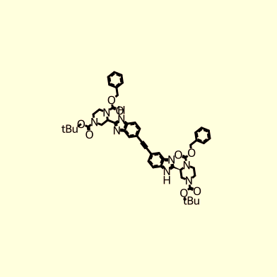 CC(C)(C)OC(=O)N1CCN(C(=O)OCc2ccccc2)C(c2nc3cc(C#Cc4ccc5[nH]c([C@@H]6CN(C(=O)OC(C)(C)C)CCN6C(=O)OCc6ccccc6)nc5c4)ccc3[nH]2)C1